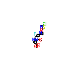 COCCn1c(Cc2ccc(-c3cccc(OCc4ncc(Cl)s4)n3)cc2F)nc2ccc(C(=O)OC)cc21